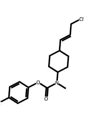 CN(C(=O)Oc1ccc(C(F)(F)F)cc1)C1CCC(/C=C/CCl)CC1